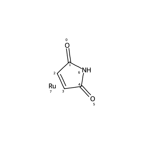 O=C1C=CC(=O)N1.[Ru]